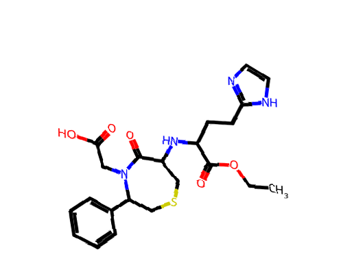 CCOC(=O)C(CCc1ncc[nH]1)NC1CSCC(c2ccccc2)N(CC(=O)O)C1=O